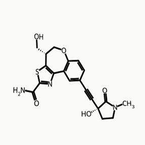 CN1CC[C@@](O)(C#Cc2ccc3c(c2)-c2nc(C(N)=O)sc2[C@H](CO)CO3)C1=O